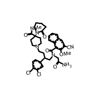 CNC(=O)C1(N2CCCCC2=O)CCN(CCC(CN(CC(N)=O)C(=O)c2c(OC)c(C#N)cc3ccccc23)c2ccc(Cl)c(Cl)c2)CC1